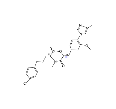 COc1cc(/C=C2\O[C@H](C)[C@@H](CCCc3ccc(Cl)cc3)N(C)C2=O)ccc1-n1cnc(C)c1